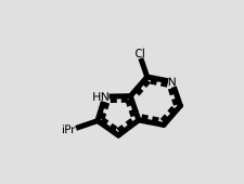 CC(C)c1cc2ccnc(Cl)c2[nH]1